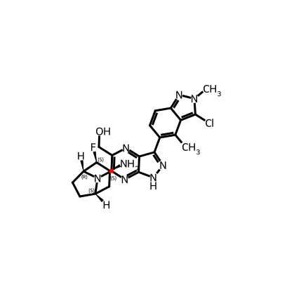 Cc1c(-c2n[nH]c3nc(N4[C@H]5CC[C@@H]4[C@@H](F)[C@@H](N)C5)c(CO)nc23)ccc2nn(C)c(Cl)c12